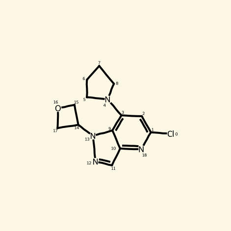 Clc1cc(N2CCCC2)c2c(cnn2C2COC2)n1